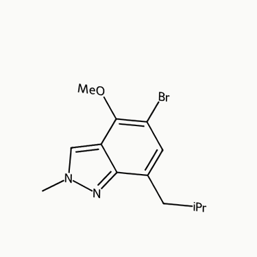 COc1c(Br)cc(CC(C)C)c2nn(C)cc12